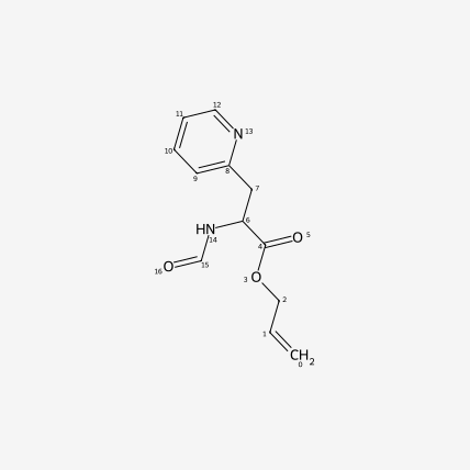 C=CCOC(=O)C(Cc1ccccn1)NC=O